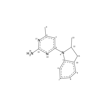 Cc1cc(N2c3ccccc3CC2C)nc(N)n1